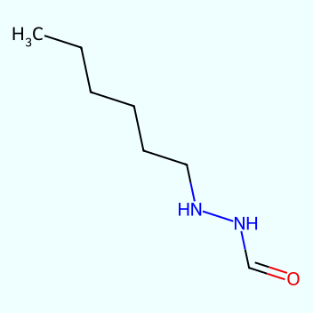 CCCCCCNNC=O